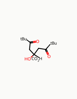 CC(C)(C)C(=O)CC(O)(CC(=O)C(C)(C)C)C(=O)O